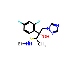 CCNS[C@H](C)[C@](O)(Cn1cncn1)c1ccc(F)cc1F